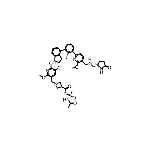 COc1nc(-c2cccc(-c3cccc4c3CC[C@@H]4Oc3nc(OC)c(CN4CC(C(=O)N=S(C)(=O)NC(C)=O)C4)cc3Cl)c2Cl)ccc1CNC[C@@H]1CCC(=O)N1